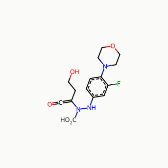 O=C=C(CCO)N(Nc1ccc(N2CCOCC2)c(F)c1)C(=O)O